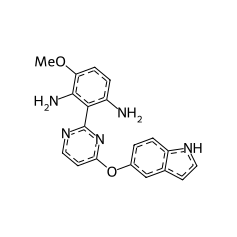 COc1ccc(N)c(-c2nccc(Oc3ccc4[nH]ccc4c3)n2)c1N